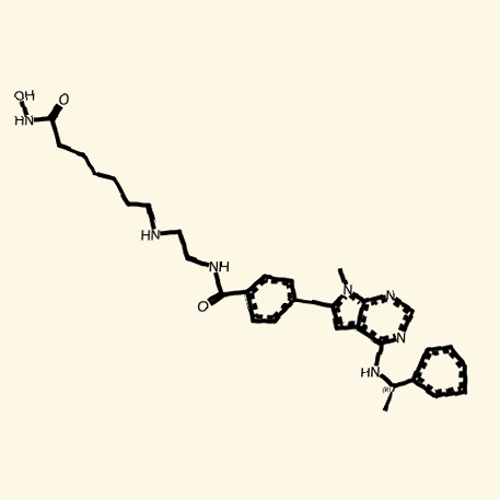 C[C@@H](Nc1ncnc2c1cc(-c1ccc(C(=O)NCCNCCCCCCC(=O)NO)cc1)n2C)c1ccccc1